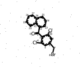 O=C(c1c(Cl)cc(CBr)cc1Cl)c1cccc2ccccc12